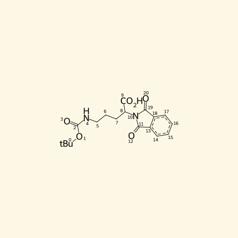 CC(C)(C)OC(=O)NCCCC(C(=O)O)N1C(=O)c2ccccc2C1=O